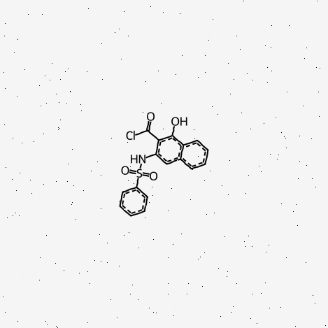 O=C(Cl)c1c(NS(=O)(=O)c2ccccc2)cc2ccccc2c1O